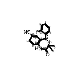 CC1(C)N=C(c2ccccc2F)c2cc(C#N)ccc2NC1=O